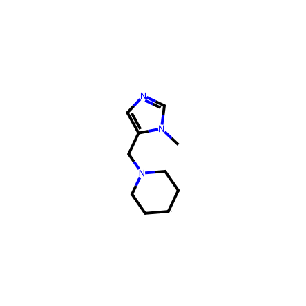 Cn1cncc1CN1CC[CH]CC1